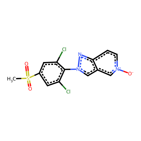 CS(=O)(=O)c1cc(Cl)c(-n2cc3c[n+]([O-])ccc3n2)c(Cl)c1